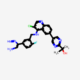 CC(C)(O)c1ncc(-c2ccc3ncc(Cl)c(NCc4cc(/C(=C/N)N=N)ccc4F)c3c2)cn1